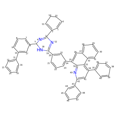 C1=CC(C2=NC(c3cccc(-c4ccccc4)c3)NC(c3cccc(-c4cc5ccccc5c5c(-c6ccccc6)cc(-c6ccccc6)nc45)c3)=N2)=CCC1